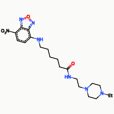 CCN1CCN(CCNC(=O)CCCCCNc2ccc([N+](=O)[O-])c3nonc23)CC1